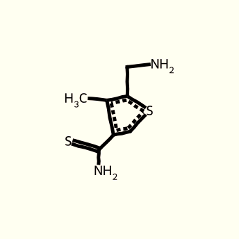 Cc1c(C(N)=S)csc1CN